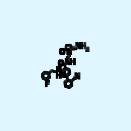 N#Cc1ccccc1-c1ccc(C(=O)NCCN2C(=O)CC[C@H]2CN)c(NCCc2cccc(F)c2)n1